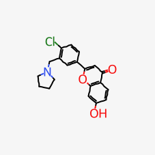 O=c1cc(-c2ccc(Cl)c(CN3CCCC3)c2)oc2cc(O)ccc12